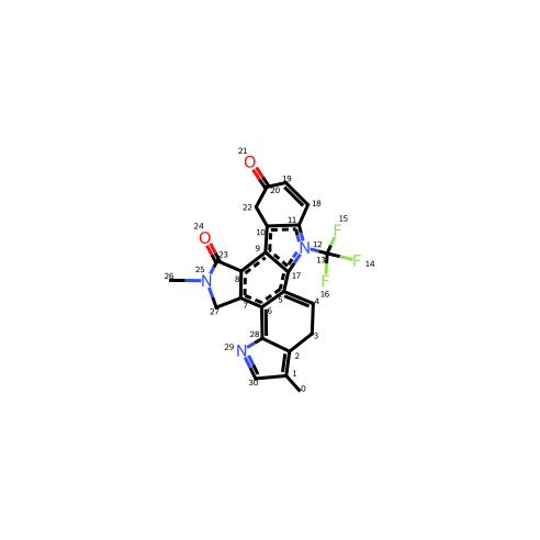 CC1=C2CC=c3c(c4c(c5c6c(n(C(F)(F)F)c35)C=CC(=O)C6)C(=O)N(C)C4)=C2N=C1